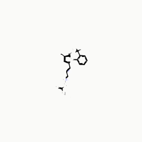 Cc1c(Cl)cc(/C=C/C=N/NC(=N)N)n1-c1ccccc1C(C)(C)C